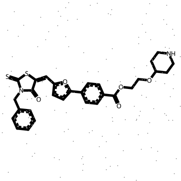 O=C(OCCOC1CCNCC1)c1ccc(-c2ccc(/C=C3/SC(=S)N(Cc4ccccc4)C3=O)o2)cc1